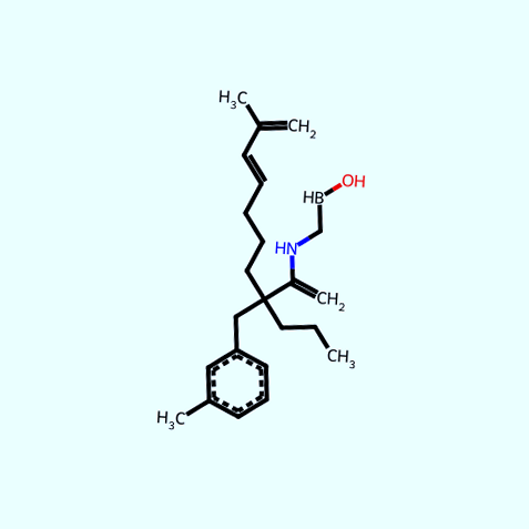 C=C(C)/C=C/CCCC(CCC)(Cc1cccc(C)c1)C(=C)NCBO